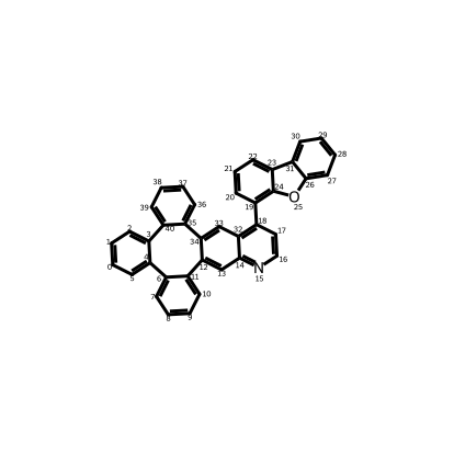 c1ccc2c(c1)-c1ccccc1-c1cc3nccc(-c4cccc5c4oc4ccccc45)c3cc1-c1ccccc1-2